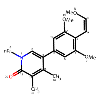 CCCn1cc(-c2cc(OC)c(/C=C\OC)c(OC)c2)c(C)c(C)c1=O